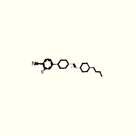 CCCC[C@H]1CC[C@H](/C=C/[C@H]2CC[C@H](c3ccc(C#N)c(F)c3)CC2)CC1